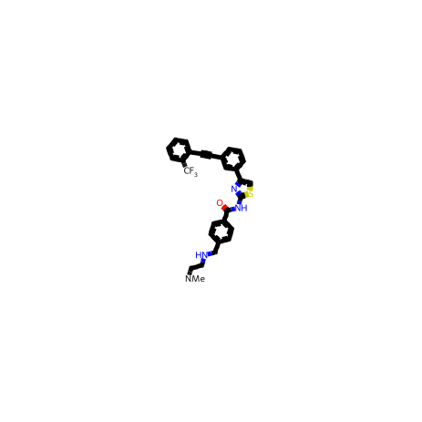 CNCCNCc1ccc(C(=O)Nc2nc(-c3cccc(C#Cc4ccccc4C(F)(F)F)c3)cs2)cc1